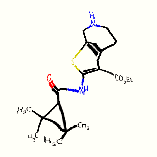 CCOC(=O)c1c(NC(=O)C2C(C)(C)C2(C)C)sc2c1CCNC2